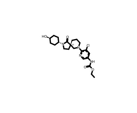 CCOC(=O)Nc1cnc(N2CCC[C@]3(CCN([C@H]4CC[C@H](O)CC4)C3=O)C2)c(Cl)c1